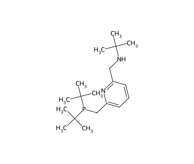 CC(C)(C)NCc1cccc(CP(C(C)(C)C)C(C)(C)C)n1